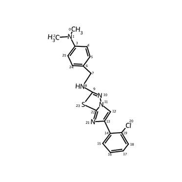 CN(C)c1ccc(CNc2nn3cc(-c4ccccc4Cl)nc3s2)cc1